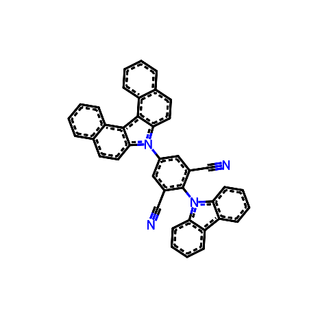 N#Cc1cc(-n2c3ccc4ccccc4c3c3c4ccccc4ccc32)cc(C#N)c1-n1c2ccccc2c2ccccc21